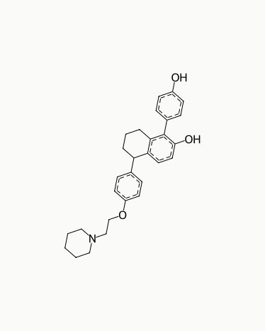 Oc1ccc(-c2c(O)ccc3c2CCCC3c2ccc(OCCN3CCCCC3)cc2)cc1